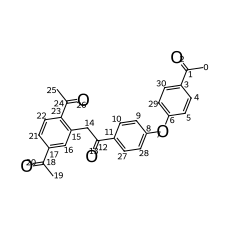 CC(=O)c1ccc(Oc2ccc(C(=O)Cc3cc(C(C)=O)ccc3C(C)=O)cc2)cc1